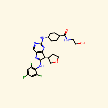 O=C(NCCO)[C@H]1CC[C@H](Nc2ncc3c(n2)[C@H](C2CCOC2)C(Nc2c(F)cc(F)cc2F)=N3)CC1